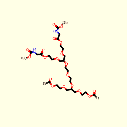 CCC(=O)OCCOCC(COCCOC(=O)CC)OCCOCCOC(COCCOC(=O)CNC(=O)OC(C)(C)C)COCCOC(=O)CNC(=O)OC(C)(C)C